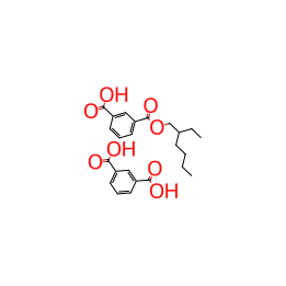 CCCCC(CC)COC(=O)c1cccc(C(=O)O)c1.O=C(O)c1cccc(C(=O)O)c1